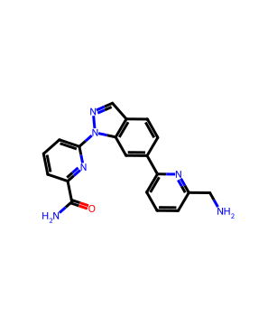 NCc1cccc(-c2ccc3cnn(-c4cccc(C(N)=O)n4)c3c2)n1